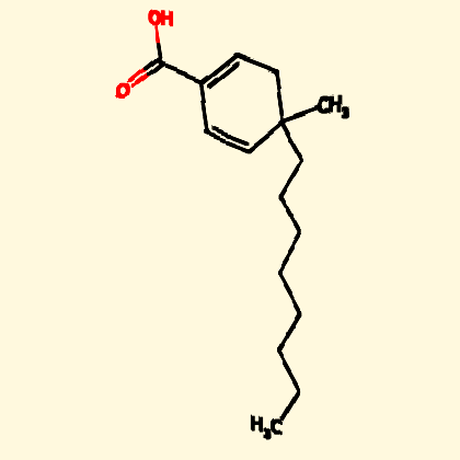 CCCCCCCCC1(C)C=CC(C(=O)O)=CC1